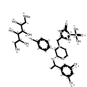 CC(O[C@H]1OCCN(Cc2nc(=O)n(P(=O)(O)O)[nH]2)[C@H]1c1ccc(F)cc1)c1cc(C(F)(F)F)cc(C(F)(F)F)c1.CNCC(O)C(O)C(O)C(O)CO